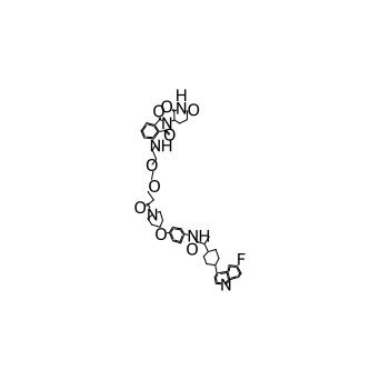 CC(C(=O)Nc1ccc(OC2CCN(C(=O)CCOCCOCCNc3cccc4c3C(=O)N(C3CCC(=O)NC3=O)C4=O)CC2)cc1)C1CCC(c2ccnc3ccc(F)cc23)CC1